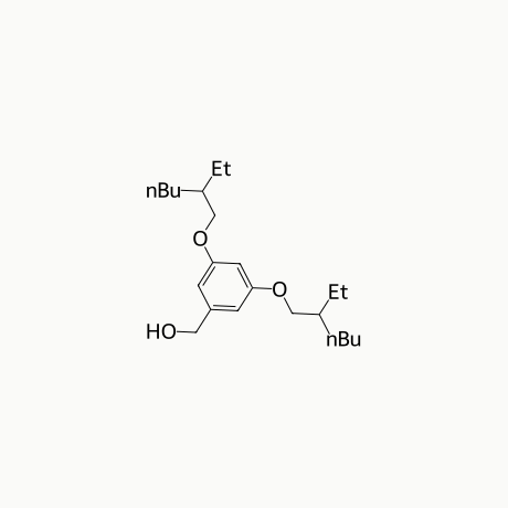 CCCCC(CC)COc1cc(CO)cc(OCC(CC)CCCC)c1